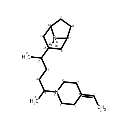 CC=C1CCN(C(C)CCC(C)C2CC3CCC(C2)N3C(C)C)CC1